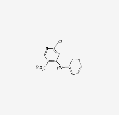 CCOC(=O)c1cnc(Cl)cc1Nc1cccnc1